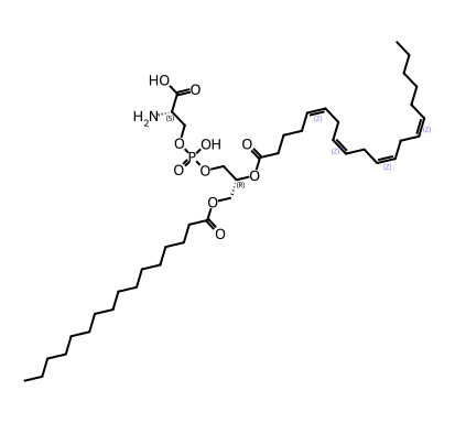 CCCCC/C=C\C/C=C\C/C=C\C/C=C\CCCC(=O)O[C@H](COC(=O)CCCCCCCCCCCCCCC)COP(=O)(O)OC[C@H](N)C(=O)O